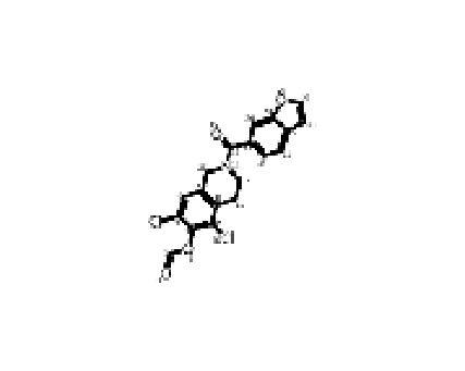 O=COc1c(Cl)cc2c(c1Cl)CCN(C(=O)c1ccc3ccoc3c1)C2